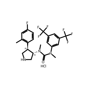 Cc1cc(F)ccc1[C@@H]1CNC[C@H]1N(C)C(=O)N(C)c1cc(C(F)(F)F)cc(C(F)(F)F)c1.Cl